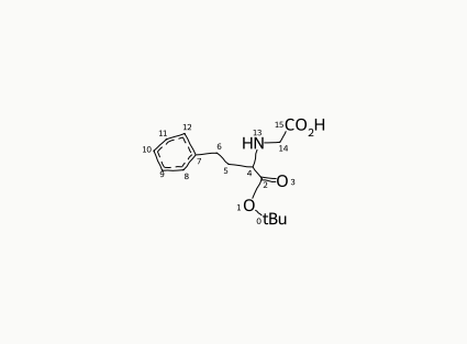 CC(C)(C)OC(=O)C(CCc1ccccc1)NCC(=O)O